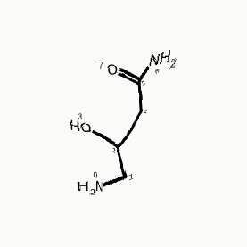 NCC(O)CC(N)=O